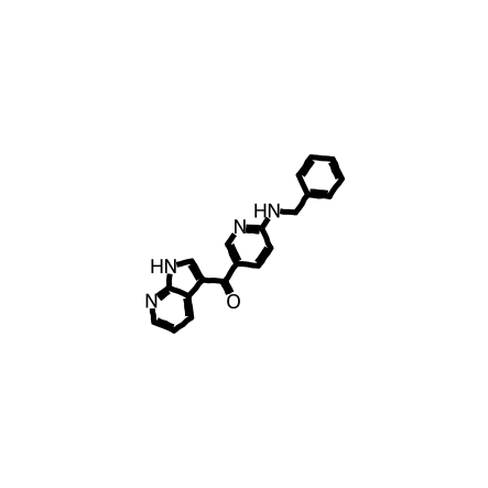 O=C(c1ccc(NCc2ccccc2)nc1)c1c[nH]c2ncccc12